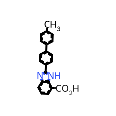 Cc1ccc(-c2ccc(-c3nc4cccc(C(=O)O)c4[nH]3)cc2)cc1